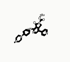 CN1CCN(c2ccc(Nc3ncc(-c4ccncc4)c4c3C(=O)N(C(=O)OC(C)(C)C)C4)cc2)CC1